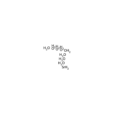 O.O.O.O.O.O.O.O.[SrH2]